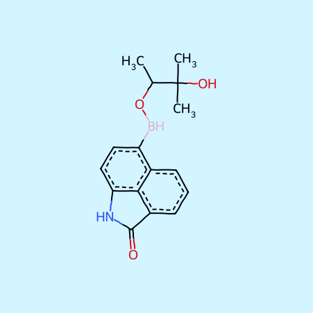 CC(OBc1ccc2c3c(cccc13)C(=O)N2)C(C)(C)O